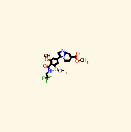 COC(=O)c1ccn2c(-c3cc(OC)c(C(=O)NCC(F)(F)F)c(OC)c3)cnc2c1